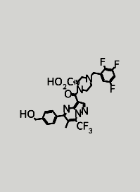 Cc1c(-c2ccc(CO)cc2)nc2c(C(=O)N3CCN(Cc4cc(F)cc(F)c4F)C[C@H]3C(=O)O)cnn2c1C(F)(F)F